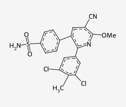 COc1nc(-c2cc(Cl)c(C)c(Cl)c2)c(-c2ccc(S(N)(=O)=O)cc2)cc1C#N